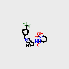 O=C(N[C@@H]1CC[C@H]2CN(Cc3ccc(C(F)(F)F)cc3)C[C@H]21)C1CCCCN1C(=O)O